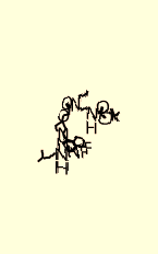 CCCN(CCNC(=O)OC(C)(C)C)C(=O)COC1CCN(c2nc(NCCC(C)C)nc3c2CCC3(F)F)C1